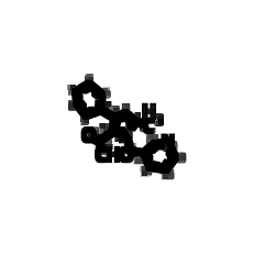 Cc1cc(-c2ccccc2)c(C(=O)[C]=O)n1Cc1cccnc1